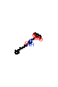 CC1=C(/C=C/C(C)=C/C=C/C(C)=C/C(=O)Nc2cc[n+](CCCOc3c4occc4cc4ccc(=O)oc34)cc2)C(C)(C)CCC1